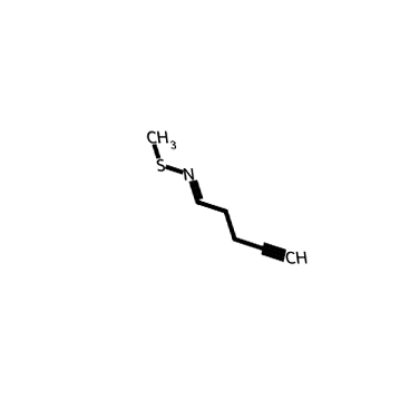 C#CCC/C=N/SC